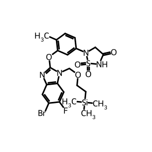 Cc1ccc(N2CC(=O)NS2(=O)=O)cc1Oc1nc2cc(Br)c(F)cc2n1COCC[Si](C)(C)C